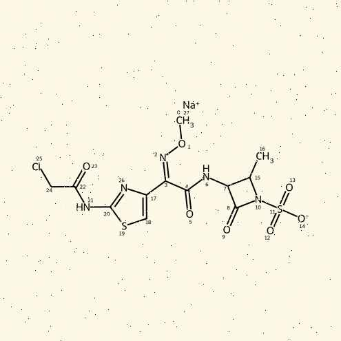 CON=C(C(=O)NC1C(=O)N(S(=O)(=O)[O-])C1C)c1csc(NC(=O)CCl)n1.[Na+]